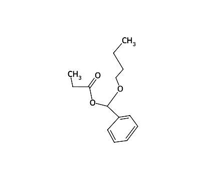 CCCCOC(OC(=O)CC)c1ccccc1